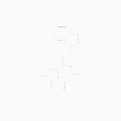 CN(C)C1CN(C2CCc3cccc(F)c32)CC1c1cn(C)c2c(Br)cccc12